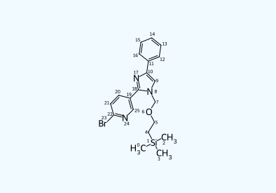 C[Si](C)(C)CCOCn1cc(-c2ccccc2)nc1-c1ccc(Br)nc1